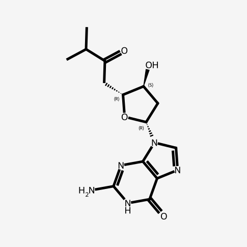 CC(C)C(=O)C[C@H]1O[C@@H](n2cnc3c(=O)[nH]c(N)nc32)C[C@@H]1O